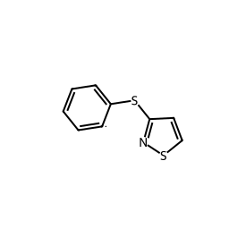 [c]1ccccc1Sc1ccsn1